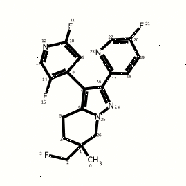 CC1(CF)CCc2c(-c3cc(F)ncc3F)c(-c3ccc(F)cn3)nn2C1